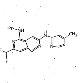 [CH2]c1ccnc(Nc2cc3c(NC(C)C)nc(C(F)F)cc3cn2)c1